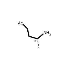 CC(=O)CC[C@@H](C)N